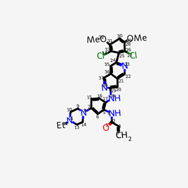 C=CC(=O)Nc1cc(N2CCN(CC)CC2)ccc1Nc1cc2cnc(-c3c(Cl)c(OC)cc(OC)c3Cl)cc2cn1